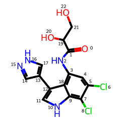 O=C(Nc1cc(Cl)c(Cl)c2[nH]cc(-c3cn[nH]c3)c12)C(O)CO